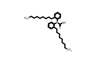 CCCCCCCCCc1ccccc1N(C(=S)S)c1ccccc1CCCCCCCCC